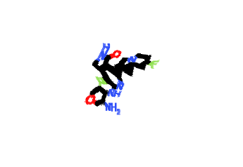 N[C@H]1COCC[C@H]1Nc1nc(-c2cc3cc(F)ccn3c2)c2c(c1F)CNC2=O